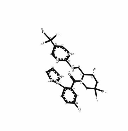 C[C@@H]1CC(F)(F)CN(C(=O)c2cc(Cl)ccc2-n2nccn2)C1CNc1ncc(C(F)(F)F)cn1